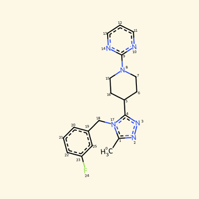 Cc1nnc(C2CCN(c3ncccn3)CC2)n1Cc1cccc(F)c1